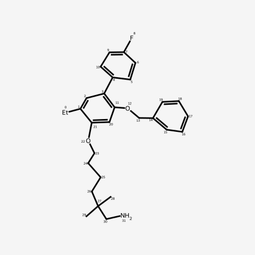 CCc1cc(-c2ccc(F)cc2)c(OCc2ccccc2)cc1OCCCCC(C)(C)CN